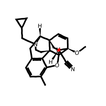 CO[C@]12C=C[C@@]3(C[C@H]1C#N)[C@H]1Cc4ccc(C)c5c4[C@@]3(CCN1CC1CC1)[C@H]2O5